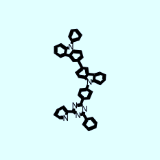 c1ccc(-c2nc(-c3ccc(-n4c5ccccc5c5cc(-c6ccc7c(c6)c6ccccc6n7-c6ccccc6)ccc54)cc3)nc(-c3ccccn3)n2)cc1